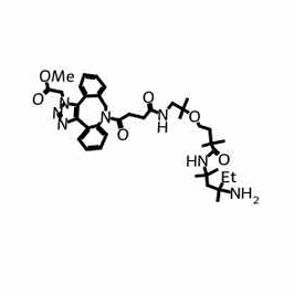 CCC(C)(N)CC(C)(C)NC(=O)C(C)(C)CCOC(C)(C)CNC(=O)CCC(=O)N1Cc2ccccc2-c2c(nnn2CC(=O)OC)-c2ccccc21